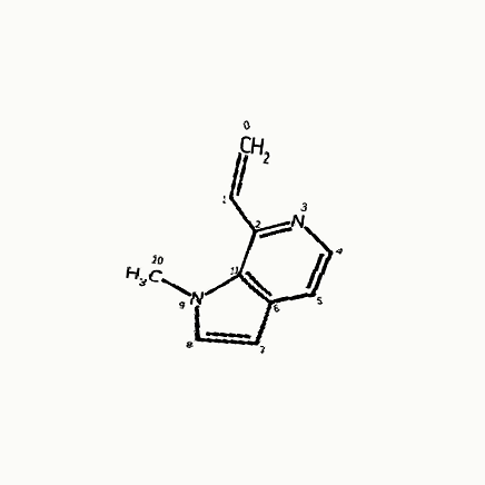 C=Cc1nccc2ccn(C)c12